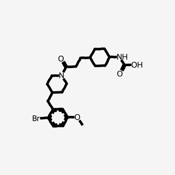 COc1ccc(Br)c(CC2CCN(C(=O)CCC3CCC(NC(=O)O)CC3)CC2)c1